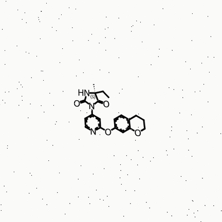 CC[C@]1(C)NC(=O)N(c2ccnc(Oc3ccc4c(c3)OCCC4)c2)C1=O